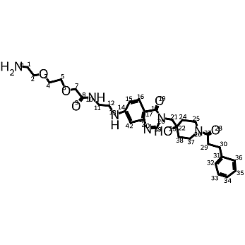 NCCOCCOCC(=O)NCCNc1ccc2c(=O)n(CC3(O)CCN(C(=O)CCc4ccccc4)CC3)cnc2c1